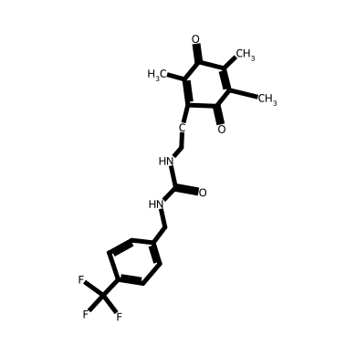 CC1=C(C)C(=O)C(CCNC(=O)NCc2ccc(C(F)(F)F)cc2)=C(C)C1=O